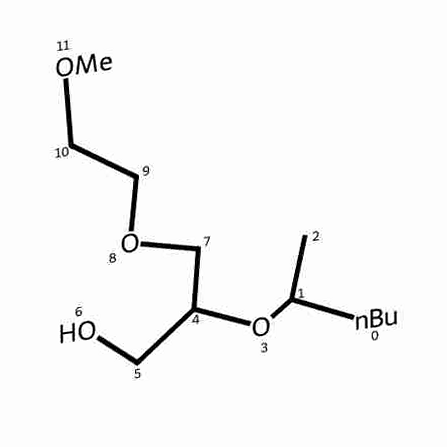 CCCCC(C)OC(CO)COCCOC